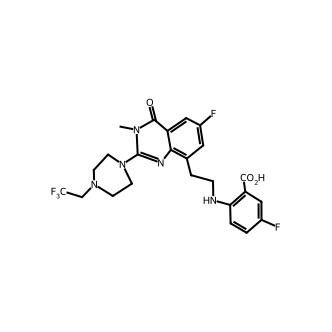 Cn1c(N2CCN(CC(F)(F)F)CC2)nc2c(CCNc3ccc(F)cc3C(=O)O)cc(F)cc2c1=O